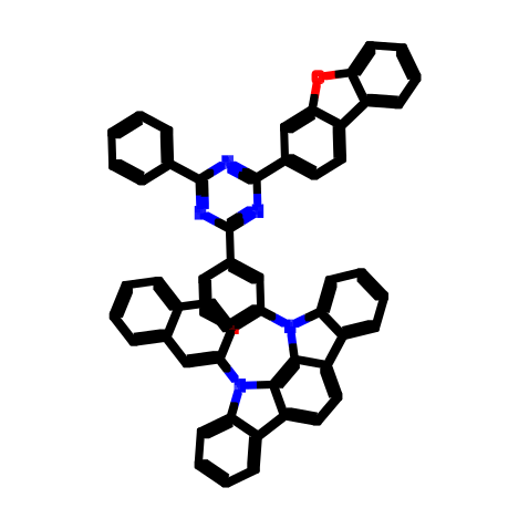 c1ccc(-c2nc(-c3cccc(-n4c5ccccc5c5ccc6c7ccccc7n(-c7ccc8ccccc8c7)c6c54)c3)nc(-c3ccc4c(c3)oc3ccccc34)n2)cc1